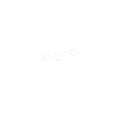 COc1cc(-c2cn3ccccc3n2)ccc1OCc1ccc(Cl)cc1